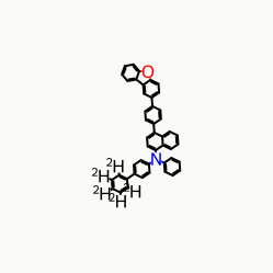 [2H]c1c([2H])c([2H])c(-c2ccc(N(c3ccccc3)c3ccc(-c4ccc(-c5ccc6oc7ccccc7c6c5)cc4)c4ccccc34)cc2)c([2H])c1[2H]